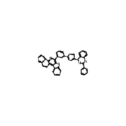 c1ccc(-c2nc(-c3ccc(-c4cccc(-c5nc6c7ccccc7ccc6c6c5sc5ccccc56)c4)cc3)c3ccccc3n2)cc1